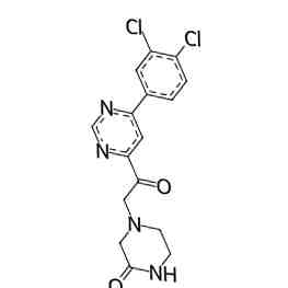 O=C1CN(CC(=O)c2cc(-c3ccc(Cl)c(Cl)c3)ncn2)CCN1